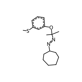 CSc1cccc(OC(C)(C)N=NC2CCCCCC2)c1